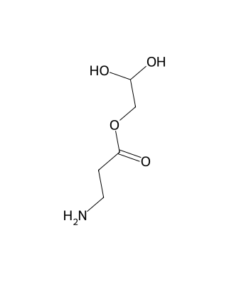 NCCC(=O)OCC(O)O